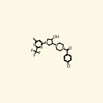 Cc1cc(N2CC(O)C(N3CCN(C(=O)c4ccc(Cl)cc4)CC3)C2)nc(C(F)(F)F)n1